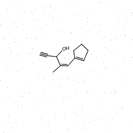 C#CC(O)C(C)=CC1=CCCC1